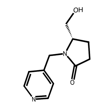 O=C1CC[C@@H](CO)N1Cc1ccncc1